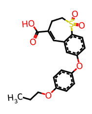 CCCOc1ccc(Oc2ccc3c(c2)C=C(C(=O)O)CCS3(=O)=O)cc1